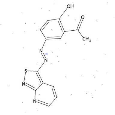 CC(=O)c1cc(/N=N/c2snc3ncccc23)ccc1O